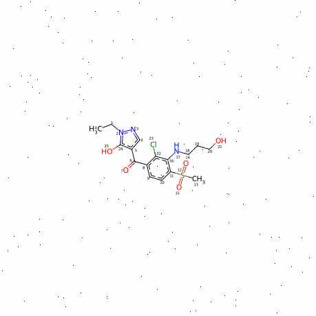 CCn1ncc(C(=O)c2ccc(S(C)(=O)=O)c(NCCCO)c2Cl)c1O